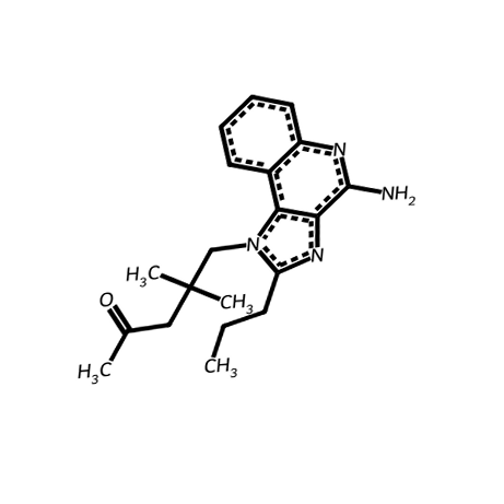 CCCc1nc2c(N)nc3ccccc3c2n1CC(C)(C)CC(C)=O